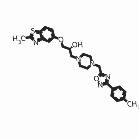 Cc1ccc(-c2noc(CN3CCN(C[C@H](O)COc4ccc5sc(C)nc5c4)CC3)n2)cc1